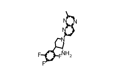 Cc1cnc2ccc(N3CCC(c4cc(F)c(F)cc4F)[C@@H](N)C3)nc2n1